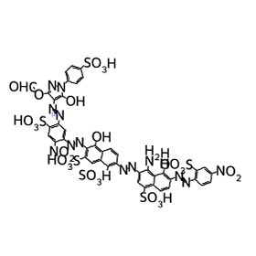 Nc1c(N=Nc2ccc3c(O)c(N=Nc4cc(/N=N/c5c(OC=O)nn(-c6ccc(S(=O)(=O)O)cc6)c5O)c(S(=O)(=O)O)cc4[N+](=O)[O-])c(S(=O)(=O)O)cc3c2S(=O)(=O)O)cc(S(=O)(=O)O)c2ccc(N=Nc3ccc([N+](=O)[O-])cc3S(=O)(=O)O)c(O)c12